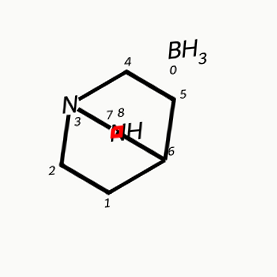 B.C1CN2CCC1CN2